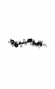 CN(C)C(=O)c1ccc(/C(O)=C/C(=N)C(=O)N[C@@H]2CCc3ccc(OCC(=O)NCCNC(=O)COc4cccc5c4C(=O)N(C4CCC(=O)NC4=O)C5=O)cc32)cc1O